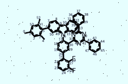 Cc1cc(C)c(-c2ccc3c4ccccc4n(-c4ccc(-c5cccc(F)c5F)cc4-c4nc(-c5ccccc5)nc(-c5ccccc5)n4)c3c2)c(C)c1